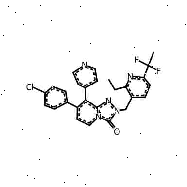 CCc1nc(C(C)(F)F)ccc1Cn1nc2c(-c3ccncc3)c(-c3ccc(Cl)cc3)ccn2c1=O